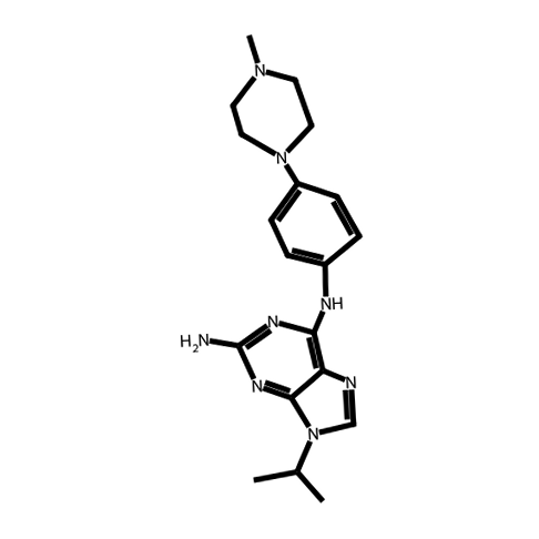 CC(C)n1cnc2c(Nc3ccc(N4CCN(C)CC4)cc3)nc(N)nc21